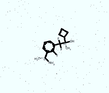 C[C@@H](N)c1cccc(C(F)(F)[C@](C)(O)C2CCC2)c1F